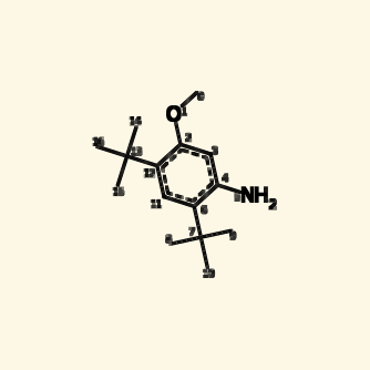 COc1cc(N)c(C(C)(C)C)cc1C(C)(C)C